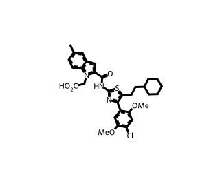 COc1cc(-c2nc(NC(=O)c3cc4cc(C)ccc4n3CC(=O)O)sc2CCC2CCCCC2)c(OC)cc1Cl